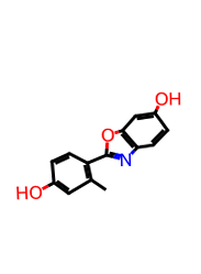 Cc1cc(O)ccc1-c1nc2ccc(O)cc2o1